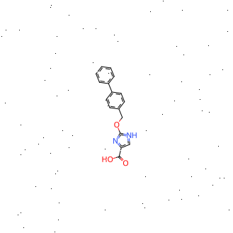 O=C(O)c1c[nH]c(OCc2ccc(-c3ccccc3)cc2)n1